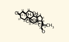 CC(C=O)=C1CC[C@H]2[C@@H]3CCC4=CC(=O)CC[C@]4(C)[C@@]3(O)CC[C@]12C